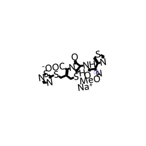 CO/N=C(\C(=O)NC1C(=O)N2C(C(=O)[O-])=C(CSc3ncns3)CS[C@@H]12)c1cscn1.[Na+]